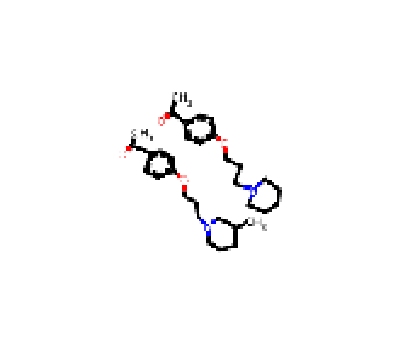 CC(=O)c1ccc(OCCCN2CCCC(C)C2)cc1.CC(=O)c1ccc(OCCCN2CCCCC2)cc1